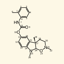 Cc1ccccc1NC(=O)Oc1ccc2c(c1)[C@]1(C)CCN(C)OC1N2C